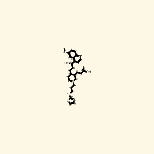 COc1ccc2nccc([C@@H](O)CCC3CCN(CCCSc4ncco4)CC3CCC(=O)O)c2c1